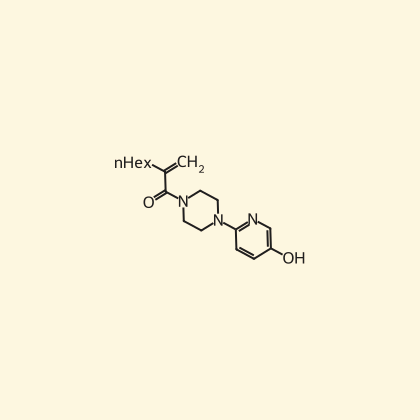 C=C(CCCCCC)C(=O)N1CCN(c2ccc(O)cn2)CC1